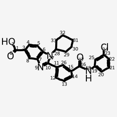 O=C(O)c1ccc2c(c1)nc(-c1cccc(C(=O)Nc3cccc(Cl)c3)c1)n2C1CCCCC1